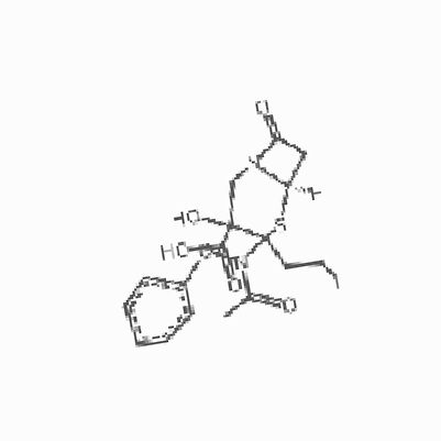 CC(=O)N(Oc1ccccc1)C1(CCI)S[C@@H]2CC(=O)N2CC1(O)C(=O)O